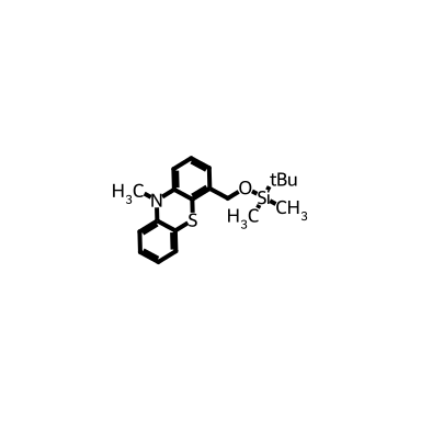 CN1c2ccccc2Sc2c(CO[Si](C)(C)C(C)(C)C)cccc21